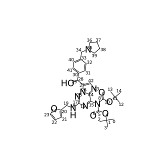 CC(C)(C)OC(=O)N(C(=O)OC(C)(C)C)c1nc(NCc2ccco2)nn2c(C(O)c3ccc(CN4CCCC4)cc3)cnc12